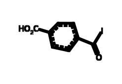 O=C(O)c1ccc(C(=O)I)cc1